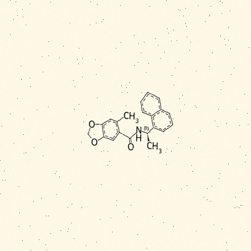 Cc1cc2c(cc1C(=O)N[C@H](C)c1cccc3ccccc13)OCO2